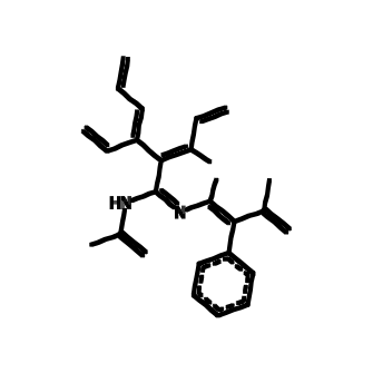 C=C/C=C(C=C)/C(C(=N\C(C)=C(\C(=C)C)c1ccccc1)/NC(=C)C)=C(/C)C=C